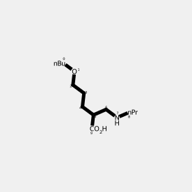 CCCCOCCCC(CNCCC)C(=O)O